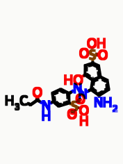 CCC(=O)Nc1ccc(N=Nc2c(N)ccc3cc(S(=O)(=O)O)cc(O)c23)c(S(=O)(=O)O)c1